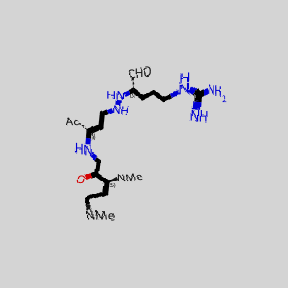 CNCC[C@H](NC)C(=O)CN[C@@H](CCNN[C@H](C=O)CCCNC(=N)N)C(C)=O